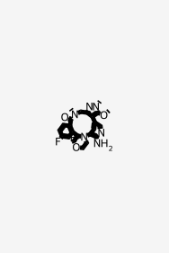 COc1c2c(nn1C)CN(C)C(=O)c1ccc(F)cc1[C@H]1COCCN1c1cc-2cnc1N